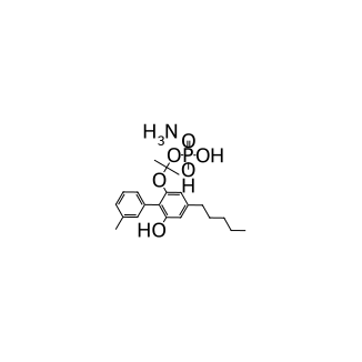 CCCCCc1cc(O)c(-c2cccc(C)c2)c(OC(C)(C)OP(=O)(O)O)c1.N